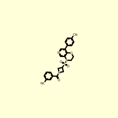 N#Cc1ccc(-c2cncc3c2OCCN3S(=O)(=O)C2CN(C(=O)c3cccc(C#N)c3)C2)cc1